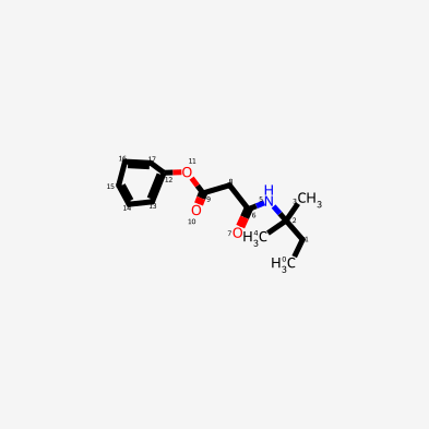 CCC(C)(C)NC(=O)CC(=O)Oc1ccccc1